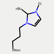 CCCCCCCCCCCCN1C=CN(CC)C1CCCC